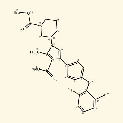 COC(=O)c1c(-c2ccc(Oc3c(F)cccc3F)cc2)cn([C@@H]2CCCN(C(=O)OC(C)(C)C)C2)c1C(=O)O